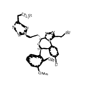 CCOC(=O)Cc1nnn(CC[C@H]2O[C@H](c3cccc(OC)c3OC)c3cc(Cl)ccc3-n3c(CC(C)(C)C)nnc32)n1